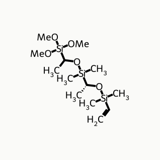 C=C[Si](C)(C)O[C@H](C)[Si](C)(C)OC(C)[Si](OC)(OC)OC